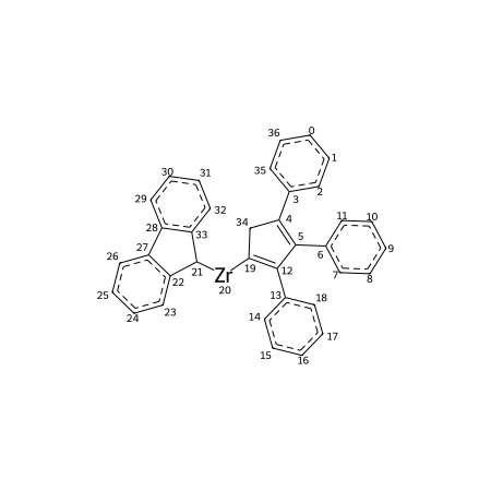 c1ccc(C2=C(c3ccccc3)C(c3ccccc3)=[C]([Zr][CH]3c4ccccc4-c4ccccc43)C2)cc1